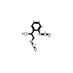 CC(CN=C=O)c1ccccc1N=C=O